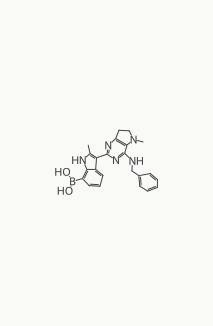 Cc1[nH]c2c(B(O)O)cccc2c1-c1nc2c(c(NCc3ccccc3)n1)N(C)CC2